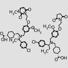 CCC(c1ccc(Cl)cc1)N(Cc1ccc(OCCN2C(=O)CCC2=O)c(OC)c1)C[C@H]1CC[C@H](C(=O)O)CC1.COc1cc(CN(C[C@H]2CC[C@H](C(=O)O)CC2)[C@@H](C)c2ccc(Cl)cc2)ccc1OCCn1c(=O)ccn(C)c1=O